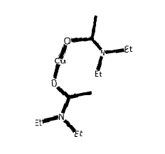 CCN(CC)C(C)[O][Cu][O]C(C)N(CC)CC